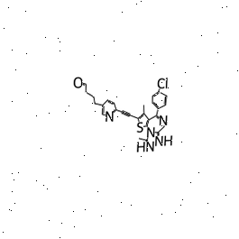 CC(=N)N1C(=N)CN=C(c2ccc(Cl)cc2)c2c1sc(C#Cc1ccc(CCCC=O)cn1)c2C